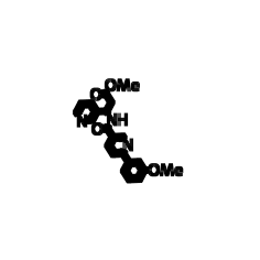 COC(=O)CC(NC(=O)c1ccc(-c2cccc(OC)c2)nc1)c1cccnc1